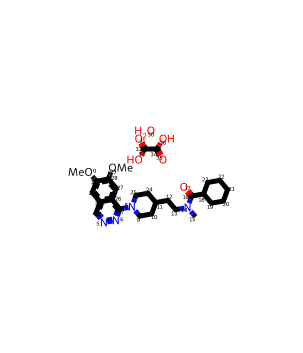 COc1cc2cnnc(N3CCC(CCN(C)C(=O)C4CCCCC4)CC3)c2cc1OC.O.O=C(O)C(=O)O